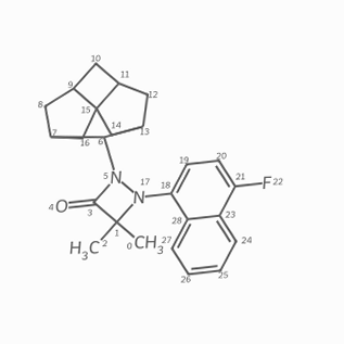 CC1(C)C(=O)N(C2C3CC4CC5CC2CC45C3)N1c1ccc(F)c2ccccc12